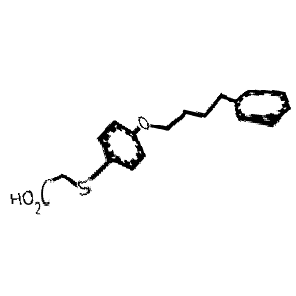 O=C(O)CSc1ccc(OCCCCc2ccccc2)cc1